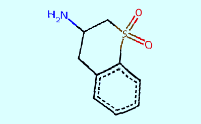 NC1Cc2ccccc2S(=O)(=O)C1